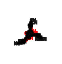 N#CC(C#N)=Cc1ccc(OCC(O)Cn2c(=O)n(CC(O)COc3ccc(C=C(C#N)C#N)cc3)c(=O)n(CC(O)COc3ccc(C=C(C#N)C#N)cc3)c2=O)cc1